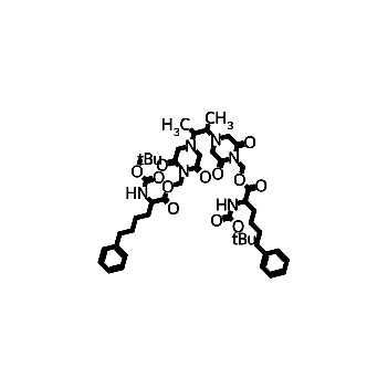 CC(C(C)N1CC(=O)N(COC(=O)C(CCCCc2ccccc2)NC(=O)OC(C)(C)C)C(=O)C1)N1CC(=O)N(COC(=O)C(CCCCc2ccccc2)NC(=O)OC(C)(C)C)C(=O)C1